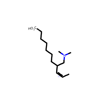 C/C=C\C(CCCCCCC(=O)O)CN(C)C